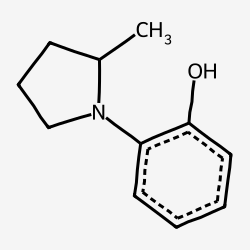 CC1CCCN1c1ccccc1O